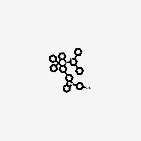 Cc1ccc(-n2c3ccccc3c3cc(-c4ccc5c(c4)N(c4cc(-c6ccccc6)cc(-c6ccccc6)n4)c4ccccc4C5(c4ccccc4)c4ccccc4)ccc32)cc1